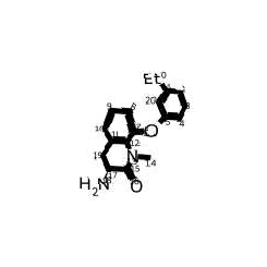 CCc1cccc(Oc2cccc3c2N(C)C(=O)[C@H](N)C3)c1